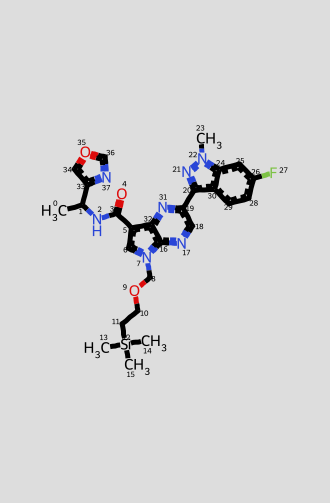 CC(NC(=O)c1cn(COCC[Si](C)(C)C)c2ncc(-c3nn(C)c4cc(F)ccc34)nc12)c1cocn1